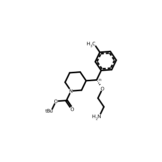 Cc1cccc([C@H](OCCN)C2CCCN(C(=O)OC(C)(C)C)C2)c1